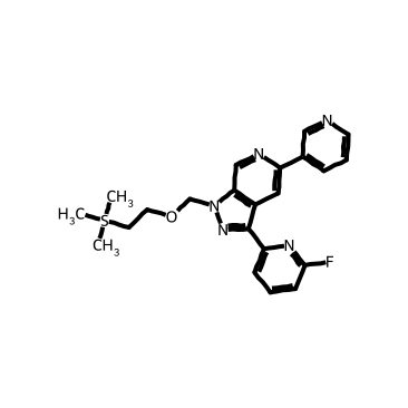 CS(C)(C)CCOCn1nc(-c2cccc(F)n2)c2cc(-c3cccnc3)ncc21